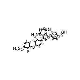 COc1cccc(Oc2ccc(-c3nc(C45CCC(CO)(CC4)OC5)n4c(Cl)cnc(N)c34)cc2)c1F